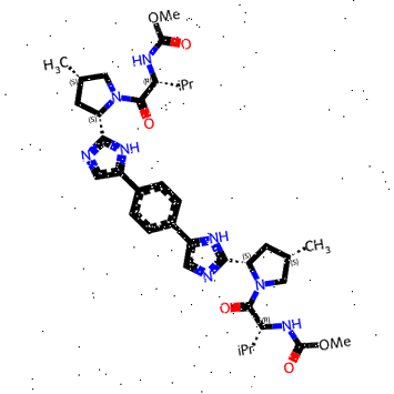 COC(=O)N[C@@H](C(=O)N1C[C@@H](C)C[C@H]1c1ncc(-c2ccc(-c3cnc([C@@H]4C[C@H](C)CN4C(=O)[C@H](NC(=O)OC)C(C)C)[nH]3)cc2)[nH]1)C(C)C